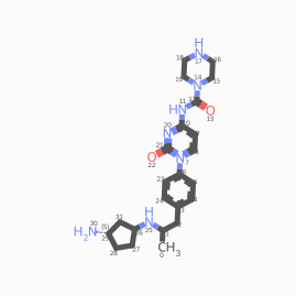 CC(Cc1ccc(-n2ccc(NC(=O)N3CCNCC3)nc2=O)cc1)NC1CC[C@H](N)C1